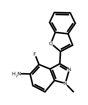 Cn1nc(-c2cc3ccccc3o2)c2c(F)c(N)ccc21